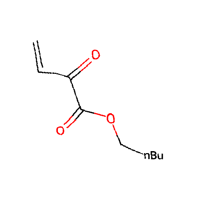 C=CC(=O)C(=O)OCCCCC